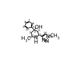 C[C@H]1C[C@@](O)(c2ccccc2)C[C@@H](c2cn(C)nn2)N1